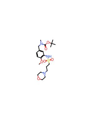 COc1ccc(CN(C)C(=O)OC(C)(C)C)cc1NS(=O)(=O)CCCN1CCOCC1